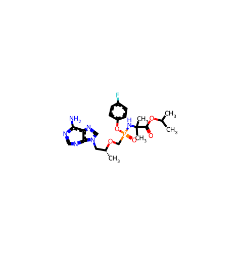 CC(C)OC(=O)C(C)(C)NP(=O)(CO[C@H](C)Cn1cnc2c(N)ncnc21)Oc1ccc(F)cc1